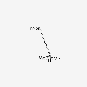 CCCCCCCCCCCCCCCCCCC=C[SiH](OC)OC